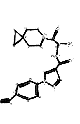 C[C@@H](NC(=O)c1cnn(-c2ccc(C#N)cc2)c1)C(=O)N1CCC2(CC1)CC2